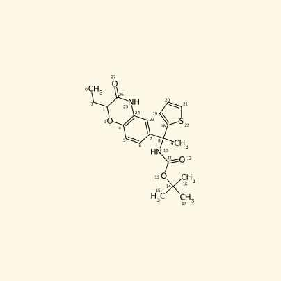 CCC1Oc2ccc(C(C)(NC(=O)OC(C)(C)C)c3cccs3)cc2NC1=O